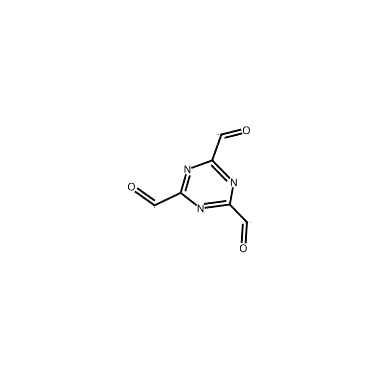 O=[C]c1nc([C]=O)nc([C]=O)n1